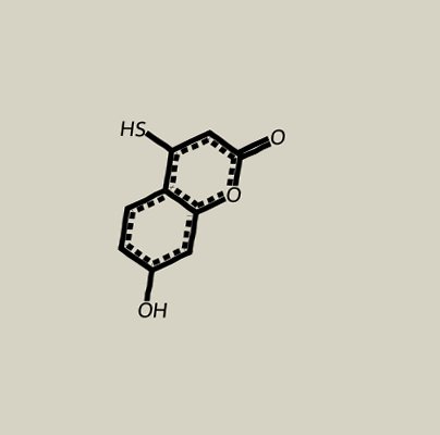 O=c1cc(S)c2ccc(O)cc2o1